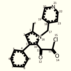 Cc1cc(-c2ccccc2)c(C(=O)C(=O)Cl)n1Cc1ccncc1